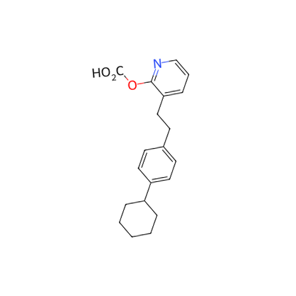 O=C(O)Oc1ncccc1CCc1ccc(C2CCCCC2)cc1